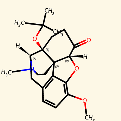 COc1ccc2c3c1O[C@H]1C(=O)CC[C@@]4(OC(C)(C)C)[C@@H](C2)N(C)CC[C@]314